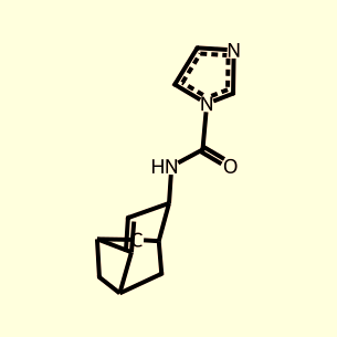 O=C(NC1C=C2C3CC2CC1C3)n1ccnc1